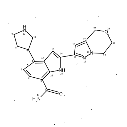 NC(=O)c1ccc(C2CCNC2)c2cc(-c3cc4n(n3)CCOC4)[nH]c12